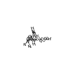 CN(C)CCCN(CCCN(C)C)C(=O)[C@@H]1C[C@H](NC(=O)CCC2CCC3C4CCC5C[C@H](O)CC[C@]5(C)C4CC[C@]23C)CN1C(=O)C(N)Cc1c[nH]cn1